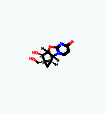 O=c1ccn2c(n1)O[C@@H]1[C@H]2[C@H]2C[C@@]2(CO)[C@H]1O